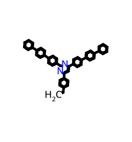 C=Cc1ccc(-c2cc(-c3ccc(-c4ccc(-c5ccccc5)cc4)cc3)nc(-c3ccc(-c4ccc(-c5ccccc5)cc4)cc3)n2)cc1